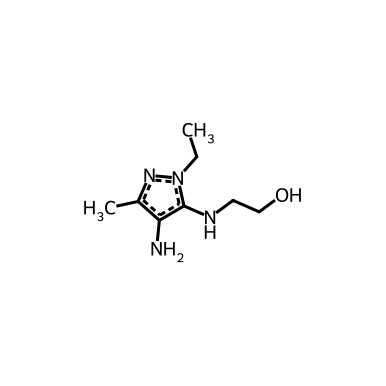 CCn1nc(C)c(N)c1NCCO